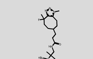 CCCCOC(C)(C)CNC(=O)CCC1CCc2c(nnn2C)C(C)(F)CC1